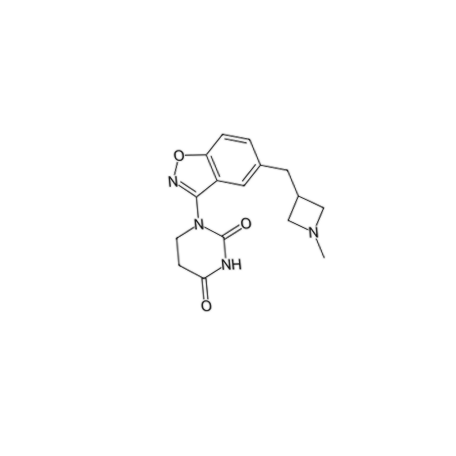 CN1CC(Cc2ccc3onc(N4CCC(=O)NC4=O)c3c2)C1